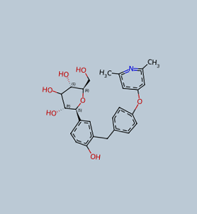 Cc1cc(Oc2ccc(Cc3cc([C@@H]4O[C@H](CO)[C@@H](O)C(O)[C@H]4O)ccc3O)cc2)cc(C)n1